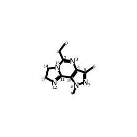 CCC1=Nc2c(C)nn(C)c2C2=NCCN12